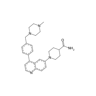 CN1CCN(Cc2ccc(-c3ccnc4ccc(N5CCC(C(N)=O)CC5)cc34)cc2)CC1